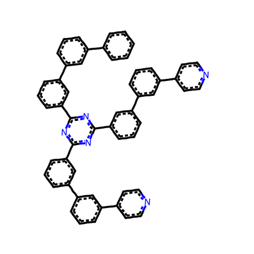 c1ccc(-c2cccc(-c3cccc(-c4nc(-c5cccc(-c6cccc(-c7ccncc7)c6)c5)nc(-c5cccc(-c6cccc(-c7ccncc7)c6)c5)n4)c3)c2)cc1